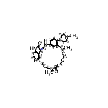 CN1CCN(c2ccc3cc2CN(C)CCCCCC(=O)N(C)CCCNc2ncnc4c2/C(=C/N3)C(=O)N4)CC1